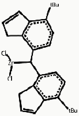 CC(C)(C)c1ccc([CH](c2ccc(C(C)(C)C)c3c2CC=C3)[Zr]([Cl])[Cl])c2c1C=CC2